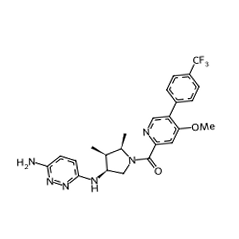 COc1cc(C(=O)N2C[C@@H](Nc3ccc(N)nn3)[C@@H](C)[C@H]2C)ncc1-c1ccc(C(F)(F)F)cc1